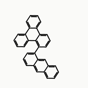 c1ccc2cc3c(-c4cccc5c6ccccc6c6ccccc6c45)cccc3cc2c1